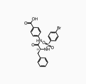 O=C(O)c1ccc(NC(=O)[C@H](Cc2ccccc2)NS(=O)(=O)c2ccc(Br)cc2)cc1